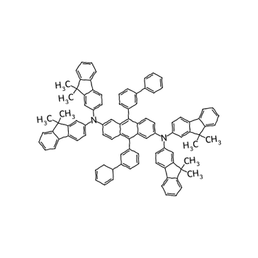 CC1(C)c2ccccc2-c2ccc(N(c3ccc4c(c3)C(C)(C)c3ccccc3-4)c3ccc4c(-c5cccc(C6C=CC=CC6)c5)c5cc(N(c6ccc7c(c6)C(C)(C)c6ccccc6-7)c6ccc7c(c6)C(C)(C)c6ccccc6-7)ccc5c(-c5cccc(-c6ccccc6)c5)c4c3)cc21